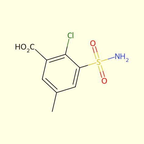 Cc1cc(C(=O)O)c(Cl)c(S(N)(=O)=O)c1